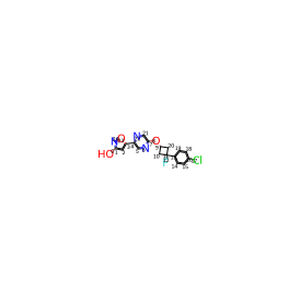 Oc1cc(-c2cnc(O[C@H]3C[C@@](F)(c4ccc(Cl)cc4)C3)cn2)on1